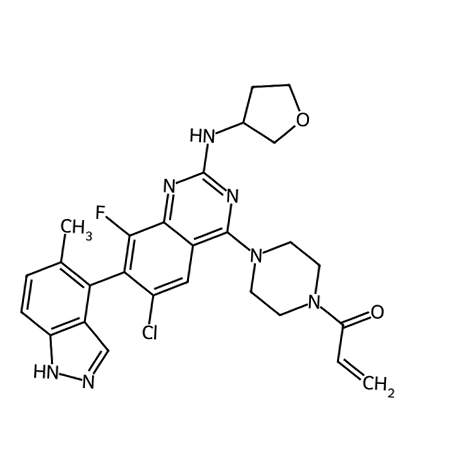 C=CC(=O)N1CCN(c2nc(NC3CCOC3)nc3c(F)c(-c4c(C)ccc5[nH]ncc45)c(Cl)cc23)CC1